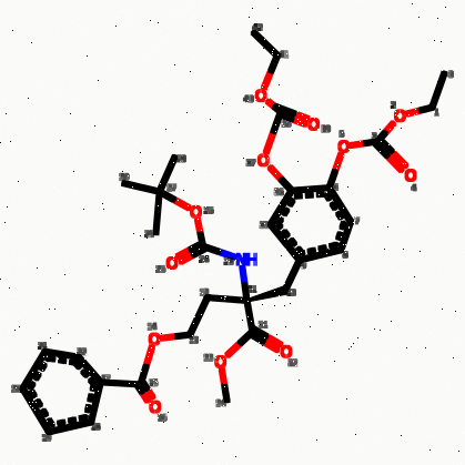 CCOC(=O)Oc1ccc(C[C@@](CCOC(=O)c2ccccc2)(NC(=O)OC(C)(C)C)C(=O)OC)cc1OC(=O)OCC